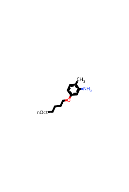 CCCCCCCCCCCCOc1ccc(C)c(N)c1